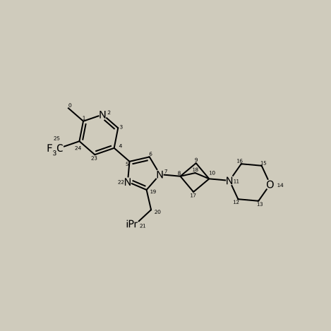 Cc1ncc(-c2cn(C34CC(N5CCOCC5)(C3)C4)c(CC(C)C)n2)cc1C(F)(F)F